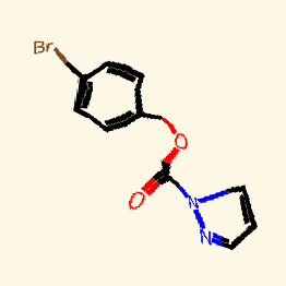 O=C(Oc1ccc(Br)cc1)n1cccn1